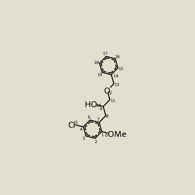 COc1ccc(Cl)cc1CC(O)COCc1ccccc1